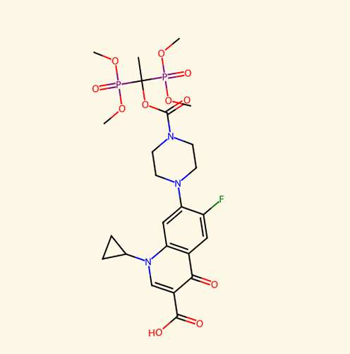 COP(=O)(OC)C(C)(OC(=O)N1CCN(c2cc3c(cc2F)c(=O)c(C(=O)O)cn3C2CC2)CC1)P(=O)(OC)OC